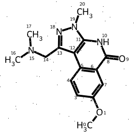 COc1ccc2c(c1)c(=O)[nH]c1c2c(CN(C)C)nn1C